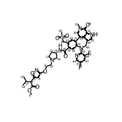 COC(=O)C(c1cc(OCCN2CC[C@H](NC(=O)c3cc4c(cc3CS(C)(=O)=O)-c3cn(C)c(=O)c5[nH]cc(c35)CN4c3ncc(F)cc3F)C2)no1)C(C)C